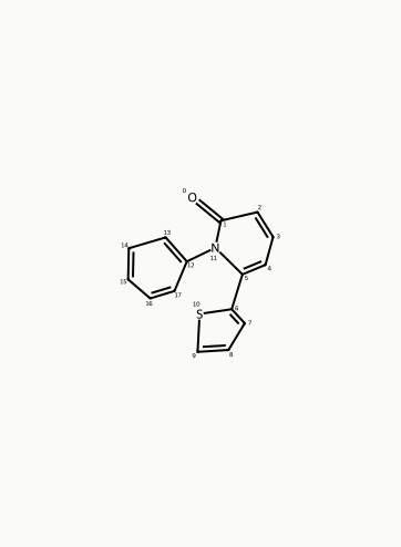 O=c1cccc(-c2cccs2)n1-c1ccccc1